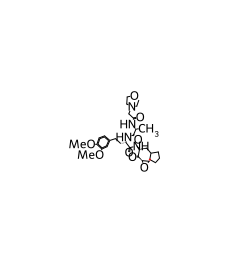 COc1ccc(CC[C@H](NC(=O)[C@H](C)NC(=O)CN2CCOCC2)C(=O)N[C@@H](CC2CCCC2)C(=O)[C@H]2CO2)cc1OC